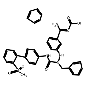 CS(=O)(=O)c1ccccc1-c1ccc(NC(=O)N(Cc2ccccc2)Nc2cccc(C(N)=NC(=O)O)c2)cc1.c1ccccc1